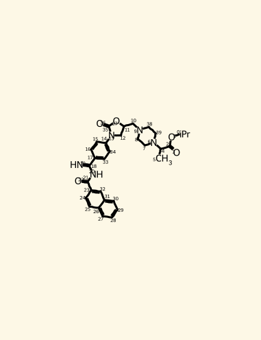 CC(C)OC(=O)C(C)N1CCN(CC2CN(c3ccc(C(=N)NC(=O)c4ccc5ccccc5c4)cc3)C(=O)O2)CC1